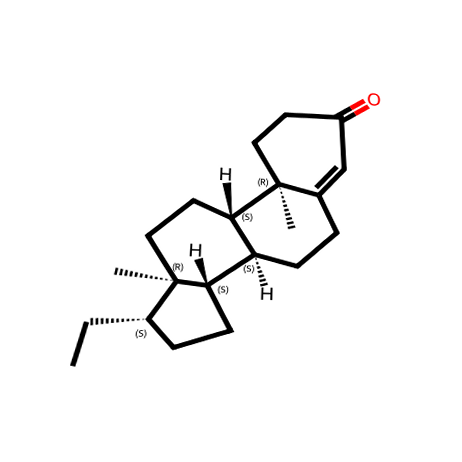 CC[C@H]1CC[C@H]2[C@@H]3CCC4=CC(=O)CC[C@]4(C)[C@H]3CC[C@]12C